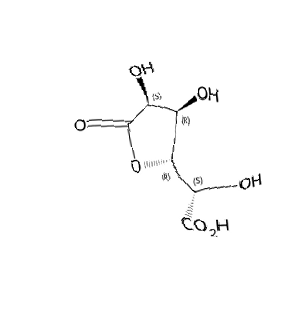 O=C1O[C@@H]([C@H](O)C(=O)O)[C@H](O)[C@@H]1O